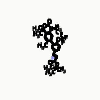 CCN1C(=O)OC(C)(C)c2cc(C)c(-c3cc(/C=C/C(=O)OC(C)(C)C)ccc3OC(F)(F)F)cc21